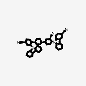 N#Cc1ccc(-c2ccc(-c3ccc(-n4c5ccccc5c5cc(C#N)ccc54)c(C#N)c3)cc2)c(-n2c3ccccc3c3ccccc32)c1